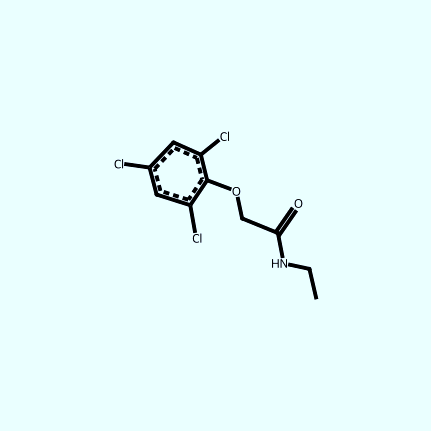 CCNC(=O)COc1c(Cl)cc(Cl)cc1Cl